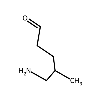 CC(CN)CCC=O